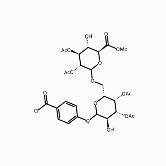 COC(=O)[C@H]1OC(OC[C@H]2OC(Oc3ccc(C(=O)Cl)cc3)[C@H](O)[C@@H](OC(C)=O)[C@H]2OC(C)=O)[C@H](OC(C)=O)[C@@H](OC(C)=O)[C@@H]1O